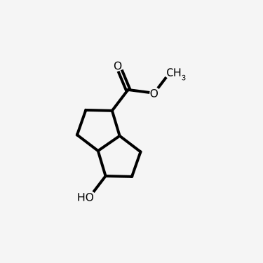 COC(=O)C1CCC2C(O)CCC12